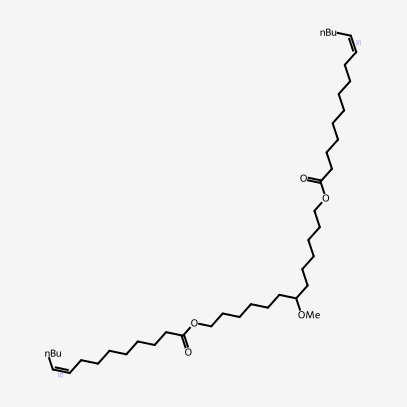 CCCC/C=C\CCCCCCCCC(=O)OCCCCCCC(CCCCCCOC(=O)CCCCCCC/C=C\CCCC)OC